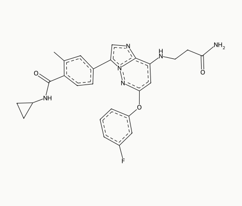 Cc1cc(-c2cnc3c(NCCC(N)=O)cc(Oc4cccc(F)c4)nn23)ccc1C(=O)NC1CC1